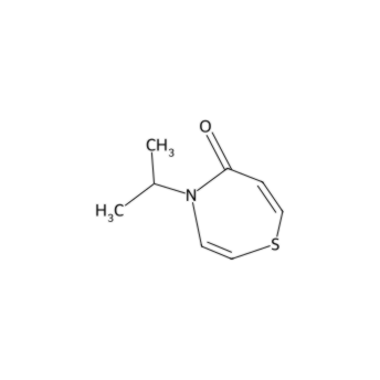 CC(C)N1C=CSC=CC1=O